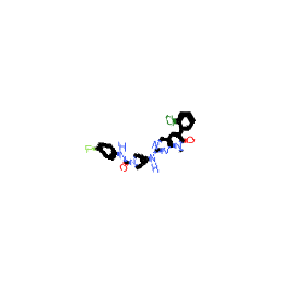 Cn1c(=O)c(-c2ccccc2Cl)cc2cnc(NC3C4CN(C(=O)Nc5ccc(F)cc5)CC43)nc21